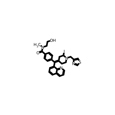 CN(CCO)C(=O)c1ccc(C(=C2CCN(Cc3cscn3)C(I)C2)c2cccc3cccnc23)cc1